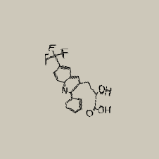 O=C(O)C(O)CCc1cc2cc(C(F)(F)F)ccc2nc1-c1ccccc1